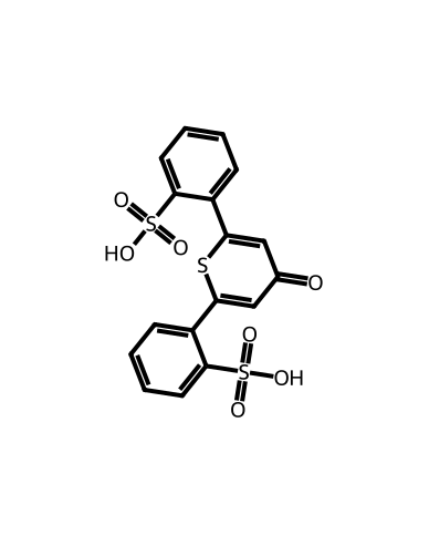 O=c1cc(-c2ccccc2S(=O)(=O)O)sc(-c2ccccc2S(=O)(=O)O)c1